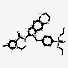 CCOP(=O)(OCC)c1ccc(Cn2c(NC(=O)c3cc(C)nn3CC)nc3cc4c(cc32)OCCO4)cc1